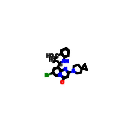 C[C@@H](Nc1ccccc1C(=O)O)c1cc(Br)cn2c(=O)cc(N3CCC4(CC3)CC4)nc12